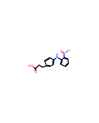 O=C(O)CCc1ccc(Nc2ccccc2[N+](=O)[O-])cc1